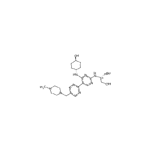 CCCC[C@H](CO)Nc1ncc(-c2ccc(CN3CCN(C)CC3)cn2)c(N[C@H]2CC[C@H](O)CC2)n1